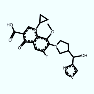 COc1c(N2CCC(C(O)c3cscn3)C2)c(F)cc2c(=O)c(C(=O)O)cn(C3CC3)c12